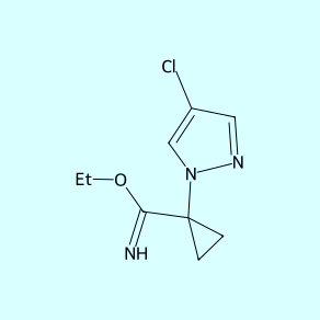 CCOC(=N)C1(n2cc(Cl)cn2)CC1